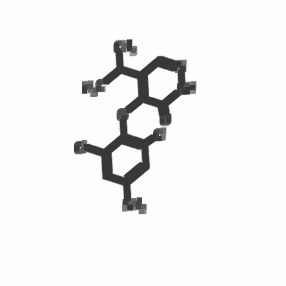 CC(C)c1cn[nH]c(=O)c1Oc1c(Cl)cc(N)cc1Cl